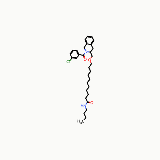 CCCCNC(=O)CCCCCCCCCCOCC1Cc2ccccc2CN1C(=O)c1cccc(Cl)c1